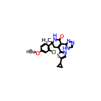 CCCCOc1ccc(C2(C)CC(c3ncc(C4CC4)s3)=C(c3nnc[nH]3)C(=O)N2)c(Cl)c1